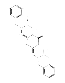 C[SiH](C)N(Cc1ccccc1)N=C1CC(=O)CC(=NN(Cc2ccccc2)[SiH](C)C)C1